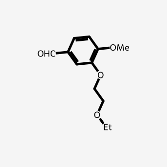 CCOCCOc1cc(C=O)ccc1OC